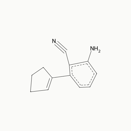 N#Cc1c(N)cccc1C1=CCCC1